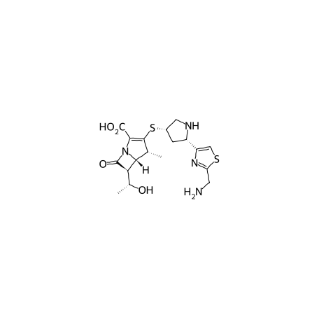 C[C@@H](O)[C@H]1C(=O)N2C(C(=O)O)=C(S[C@@H]3CN[C@H](c4csc(CN)n4)C3)[C@H](C)[C@H]12